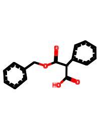 O=C(O)[C](C(=O)OCc1ccccc1)c1ccccc1